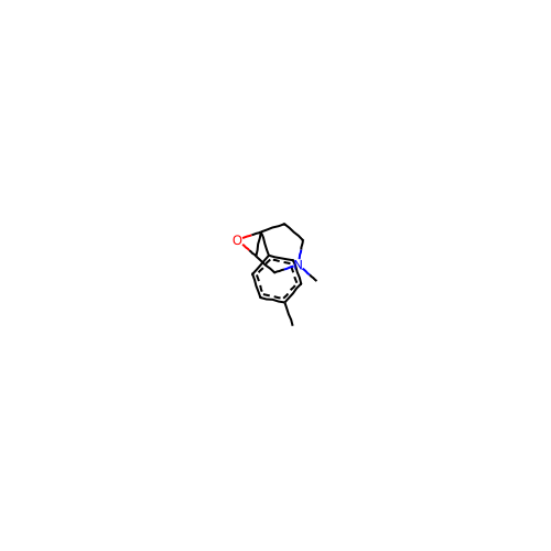 Cc1ccc(C23CCN(C)CC2O3)cc1